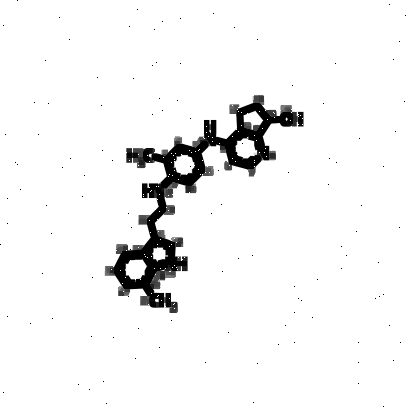 Cc1cc(Nc2ccnc3c2CCC3O)ccc1NCCc1c[nH]c2c(C)cccc12